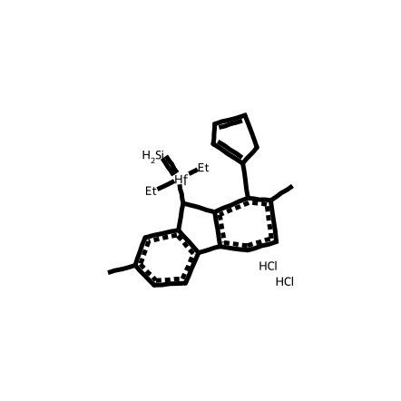 C[CH2][Hf](=[SiH2])([CH2]C)[CH]1c2cc(C)ccc2-c2ccc(C)c(C3=CC=CC3)c21.Cl.Cl